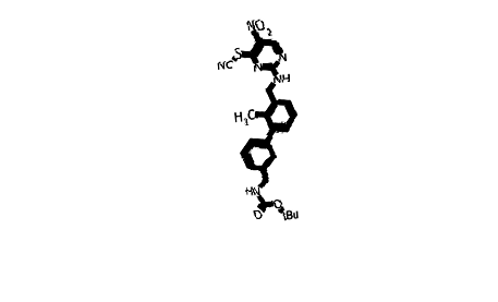 Cc1c(CNc2ncc([N+](=O)[O-])c(SC#N)n2)cccc1-c1cccc(CNC(=O)OC(C)(C)C)c1